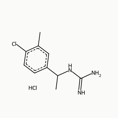 Cc1cc(C(C)NC(=N)N)ccc1Cl.Cl